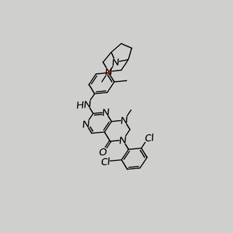 Cc1cc(Nc2ncc3c(n2)N(C)CN(c2c(Cl)cccc2Cl)C3=O)ccc1N1C2CCC1CN(C)C2